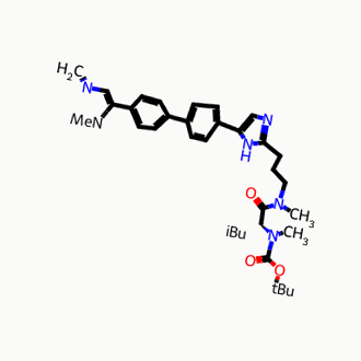 C=N/C=C(\NC)c1ccc(-c2ccc(-c3cnc(CCCN(C)C(=O)[C@H]([C@H](C)CC)N(C)C(=O)OC(C)(C)C)[nH]3)cc2)cc1